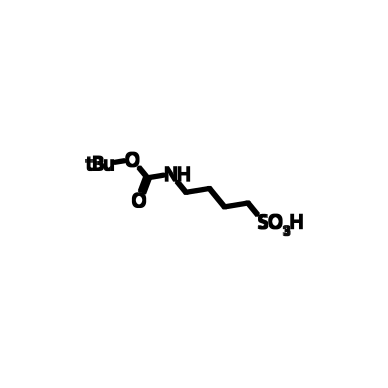 CC(C)(C)OC(=O)NCCCCS(=O)(=O)O